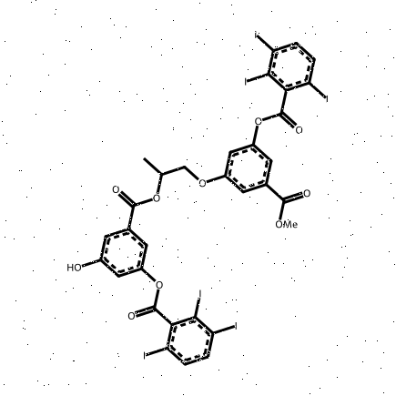 COC(=O)c1cc(OCC(C)OC(=O)c2cc(O)cc(OC(=O)c3c(I)ccc(I)c3I)c2)cc(OC(=O)c2c(I)ccc(I)c2I)c1